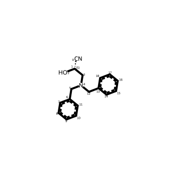 N#C[C@@H](O)CN(Cc1ccccc1)Cc1ccccc1